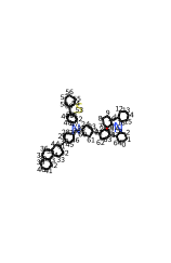 c1ccc(-n2c3ccccc3c3ccccc32)c(-c2ccc(-c3ccc(N(c4ccc(-c5ccc6c(ccc7ccccc76)c5)cc4)c4ccc5c(c4)sc4ccccc45)cc3)cc2)c1